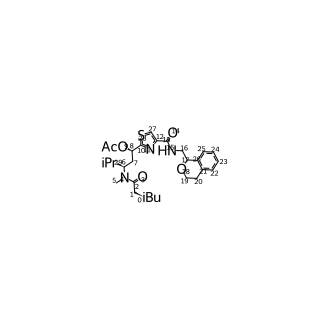 CC[C@H](C)CC(=O)N(C)[C@H](C[C@@H](OC(C)=O)c1nc(C(=O)NCC2OCCc3ccccc32)cs1)C(C)C